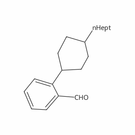 CCCCCCCC1CCC(c2ccccc2C=O)CC1